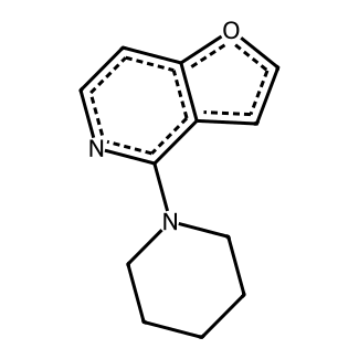 c1cc2occc2c(N2CCCCC2)n1